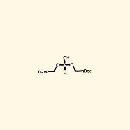 CCCCCCCCCCCOP(=O)(O)OCCCCCCCCCCC